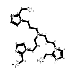 CCc1nccn1CCCN(CCCn1ccnc1CC)CCCn1ccnc1CC